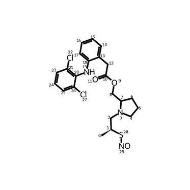 C[C@@H](CN1CCCC1COC(=O)Cc1ccccc1Nc1c(Cl)cccc1Cl)SN=O